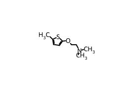 Cc1ccc(OCCN(C)C)s1